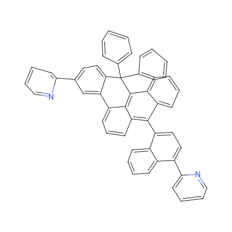 c1ccc(C2(c3ccccc3)c3ccc(-c4ccccn4)cc3-c3cccc4c(-c5ccc(-c6ccccn6)c6ccccc56)c5ccccc5c2c34)cc1